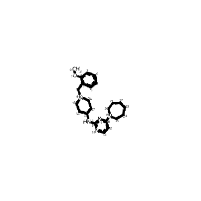 COc1ccccc1CN1CCC(Nc2nccc(N3CCCCCC3)n2)CC1